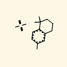 Cc1ccc2c(c1)CCCC2(C)C.O=S(=O)(O)O